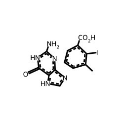 Cc1cccc(C(=O)O)c1I.Nc1nc2nc[nH]c2c(=O)[nH]1